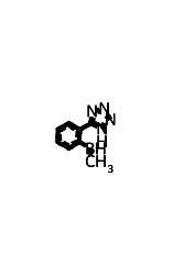 CBc1ccccc1-c1nnn[nH]1